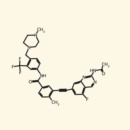 CC(=O)Nc1ncc2c(F)cc(C#Cc3cc(C(=O)Nc4ccc(CN5CCN(C)CC5)c(C(F)(F)F)c4)ccc3C)cc2n1